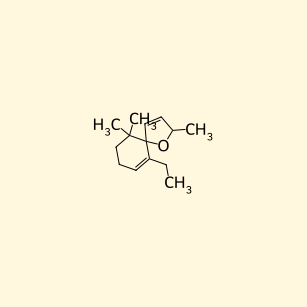 CCC1=CCCC(C)(C)C12C=CC(C)O2